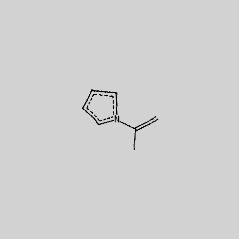 C=C(C)n1cccc1